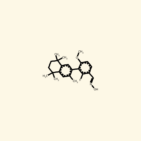 COc1ccc(C=NO)c(F)c1-c1cc2c(cc1C)C(C)(C)CCC2(C)C